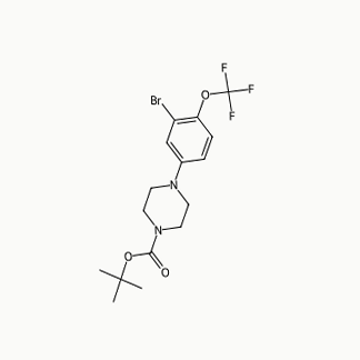 CC(C)(C)OC(=O)N1CCN(c2ccc(OC(F)(F)F)c(Br)c2)CC1